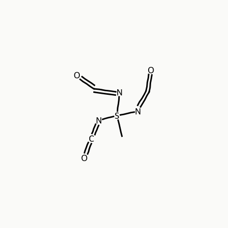 CS(N=C=O)(N=C=O)N=C=O